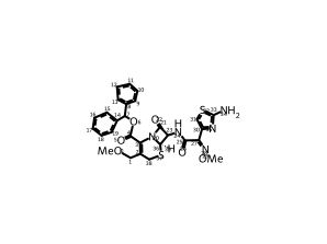 COCC1=C(C(=O)OC(c2ccccc2)c2ccccc2)N2C(=O)C(NC(=O)/C(=N\OC)c3csc(N)n3)[C@H]2SC1